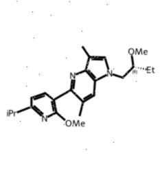 CC[C@H](Cn1cc(C)c2nc(-c3ccc(C(C)C)nc3OC)c(C)cc21)OC